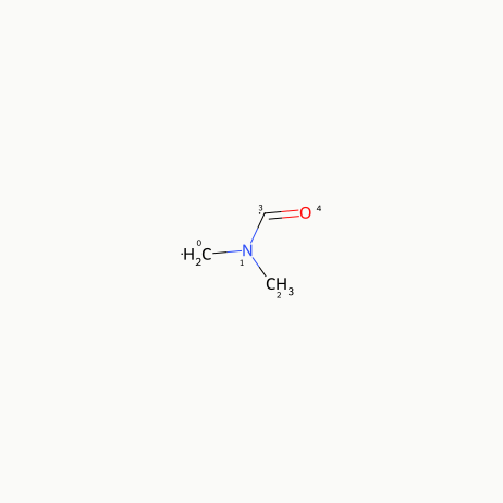 [CH2]N(C)[C]=O